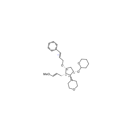 COC=CC[C@H]1[C@H](N2CCOCC2)[C@@H](OC2CCCCO2)C[C@H]1OC/C=C/c1ccccc1